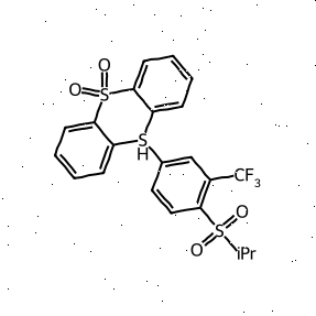 CC(C)S(=O)(=O)c1ccc([SH]2c3ccccc3S(=O)(=O)c3ccccc32)cc1C(F)(F)F